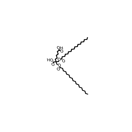 CCCCCCCCCCCCCCCCCC(=O)OCC(CCCCCC(=O)O)(COC(=O)CCCCCCCCCCCCCCCCC)C(=O)O